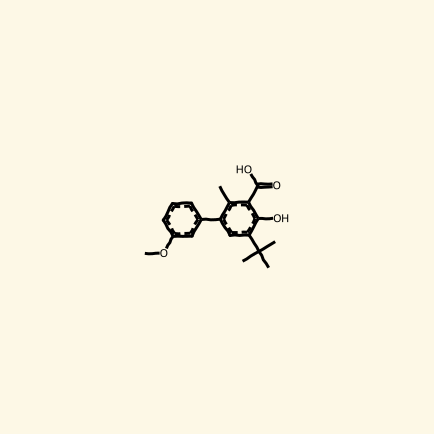 COc1cccc(-c2cc(C(C)(C)C)c(O)c(C(=O)O)c2C)c1